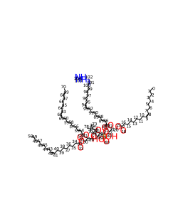 CCCCCCCC/C=C\CCCCCCCC(=O)OC[C@H](COC(C(COC[C@@H](COC(=O)CCCCCCC/C=C\CCCCCCCC)OC(=O)CCCCCCC/C=C\CCCCCCCC)O[Si](C)(C)C(C)(C)C)P(=O)(O)O)OC(=O)CCCCCCC/C=C\CCCCCCCC.N.N